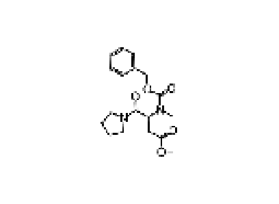 CN(C(=O)OCc1ccccc1)C(CC(=O)O)C(=O)N1CCCC1